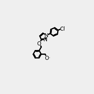 [O]Cc1ccccc1COc1ccn(-c2ccc(Cl)cc2)n1